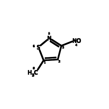 Cc1cc(N=O)ns1